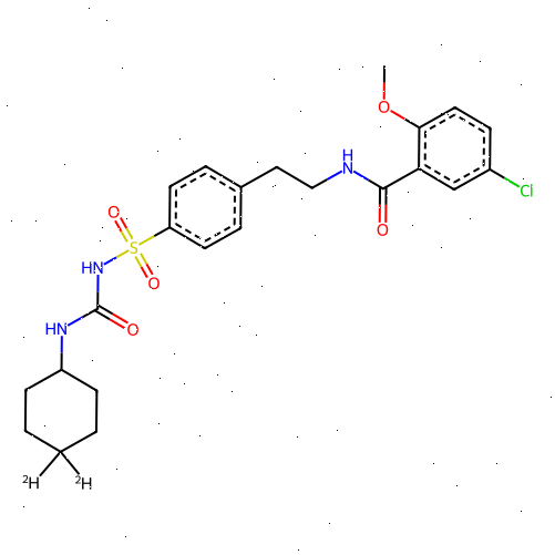 [2H]C1([2H])CCC(NC(=O)NS(=O)(=O)c2ccc(CCNC(=O)c3cc(Cl)ccc3OC)cc2)CC1